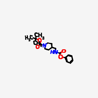 CC(C)(C)OC(=O)N1CCC(CNC(=O)Oc2ccccc2)CC1